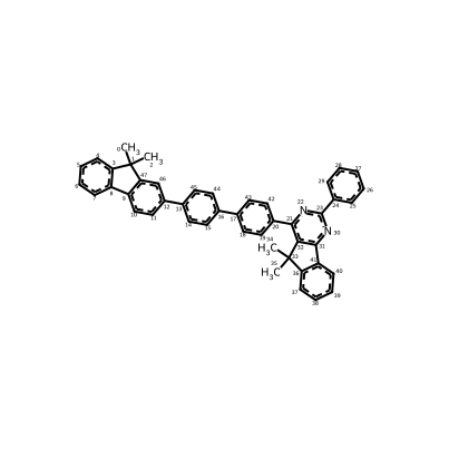 CC1(C)c2ccccc2-c2ccc(-c3ccc(-c4ccc(-c5nc(-c6ccccc6)nc6c5C(C)(C)c5ccccc5-6)cc4)cc3)cc21